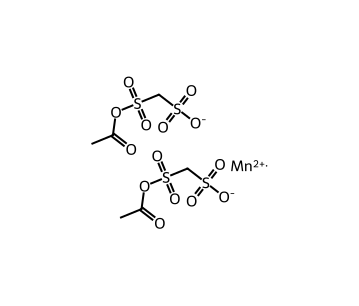 CC(=O)OS(=O)(=O)CS(=O)(=O)[O-].CC(=O)OS(=O)(=O)CS(=O)(=O)[O-].[Mn+2]